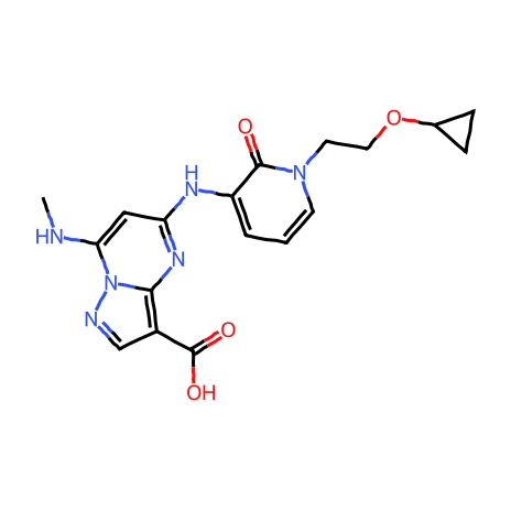 CNc1cc(Nc2cccn(CCOC3CC3)c2=O)nc2c(C(=O)O)cnn12